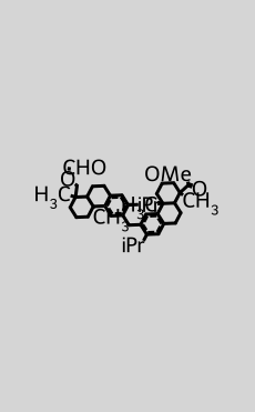 COC(=O)C1(C)CCCC2(C)c3cc(Cc4cc5c(cc4C(C)C)CCC4C(C)(COC=O)CCCC54C)c(C(C)C)cc3CCC12